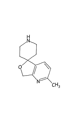 Cc1ccc2c(n1)COC21CCNCC1